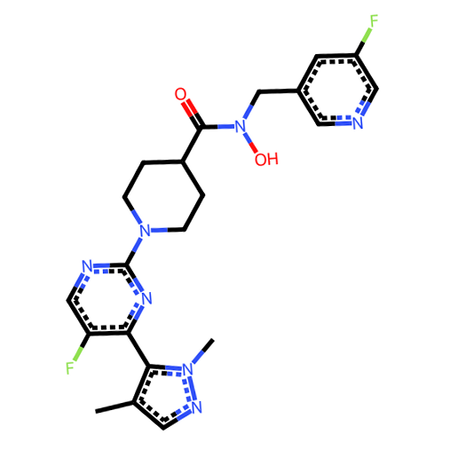 Cc1cnn(C)c1-c1nc(N2CCC(C(=O)N(O)Cc3cncc(F)c3)CC2)ncc1F